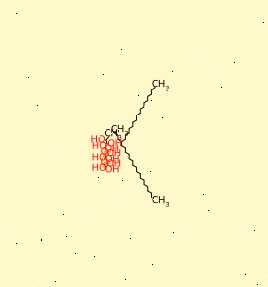 CCC(O)C(O)(O)O.CCCCCCCCCCCCCCCCCCC(CCCC)CCCCCCCCCCCCCCCCCC.O=P(O)(O)O.O=P(O)(O)O